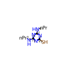 CCCNc1nc(S)nc(NCCC)n1